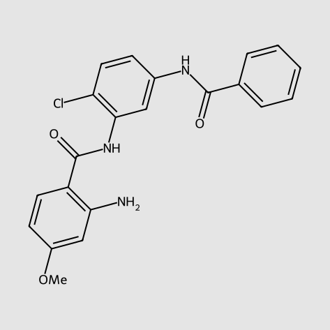 COc1ccc(C(=O)Nc2cc(NC(=O)c3ccccc3)ccc2Cl)c(N)c1